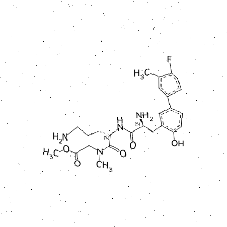 COC(=O)CN(C)C(=O)[C@H](CCCN)NC(=O)[C@@H](N)Cc1cc(-c2ccc(F)c(C)c2)ccc1O